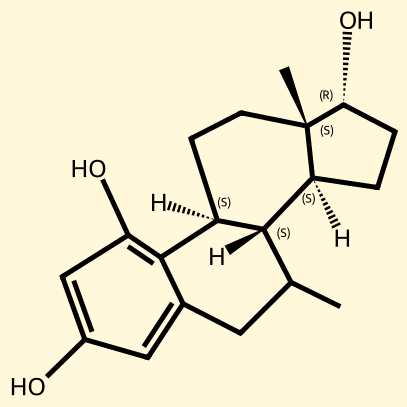 CC1Cc2cc(O)cc(O)c2[C@H]2CC[C@]3(C)[C@H](O)CC[C@H]3[C@H]12